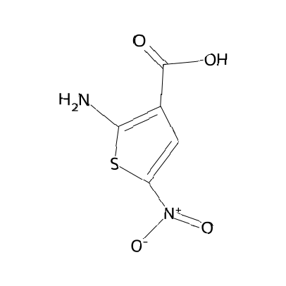 Nc1sc([N+](=O)[O-])cc1C(=O)O